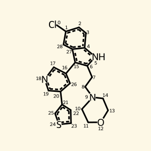 Clc1ccc2[nH]c(CCN3CCOCC3)c(-c3cncc(-c4ccsc4)c3)c2c1